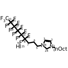 CCCCCCCCN1C=CN(CCCC(F)(F)C(F)(F)C(F)(F)C(F)(F)C(F)(F)C(F)(F)F)C1.I